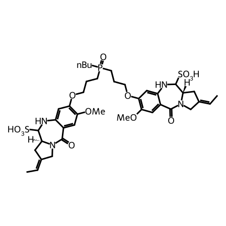 C/C=C1\C[C@H]2C(S(=O)(=O)O)Nc3cc(OCCCP(=O)(CCCC)CCCOc4cc5c(cc4OC)C(=O)N4C/C(=C/C)C[C@H]4C(S(=O)(=O)O)N5)c(OC)cc3C(=O)N2C1